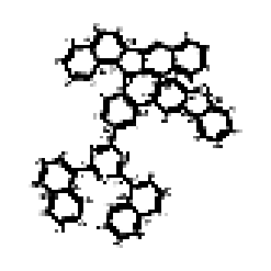 c1ccc2cc3c(cc2c1)c1ccc2ccccc2c1n3-c1ccc(-c2nc(-c3cccc4ccccc34)nc(-c3cccc4ccccc34)n2)cc1-c1ccc2oc3ccccc3c2c1